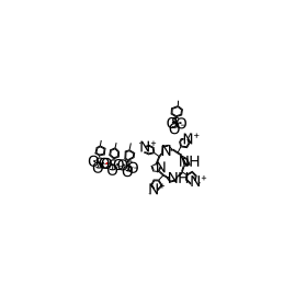 C[n+]1ccc(-c2c3nc(c(-c4cc[n+](C)cc4)c4ccc([nH]4)c(-c4cc[n+](C)cc4)c4ccc([nH]4)c(-c4cc[n+](C)cc4)c4nc2C=C4)C=C3)cc1.Cc1ccc(S(=O)(=O)[O-])cc1.Cc1ccc(S(=O)(=O)[O-])cc1.Cc1ccc(S(=O)(=O)[O-])cc1.Cc1ccc(S(=O)(=O)[O-])cc1